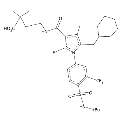 Cc1c(C(=O)NCCC(C)(C)C(=O)O)c(F)n(-c2ccc(S(=O)(=O)NC(C)(C)C)c(C(F)(F)F)c2)c1CC1CCCCC1